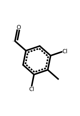 Cc1c(Cl)cc([C]=O)cc1Cl